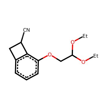 CCOC(COc1cccc2c1C(C#N)C2)OCC